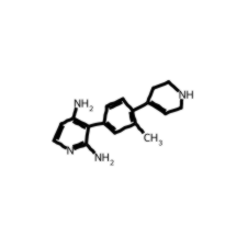 Cc1cc(-c2c(N)ccnc2N)ccc1C1=CCNCC1